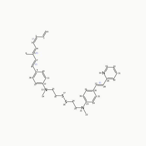 C=C\C=C/C=C(C)/C=C/c1ccc(N(C)CCSSCCN(C)c2ccc(/C=C/c3ccccn3)cc2)cc1